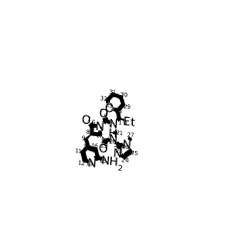 CC[C@@H](NC(=O)N1C(=O)[C@H](Cc2ccnc(N)c2)[C@H]1C(=O)N(C)c1nccn1C)C1CCCCO1